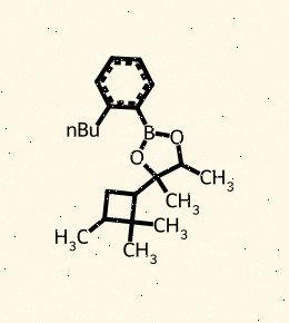 CCCCc1ccccc1B1OC(C)C(C)(C2CC(C)C2(C)C)O1